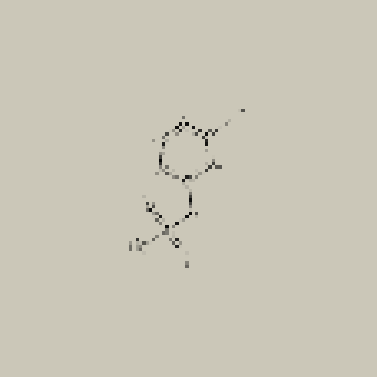 O=S(=O)(O)Cc1cccc(I)c1